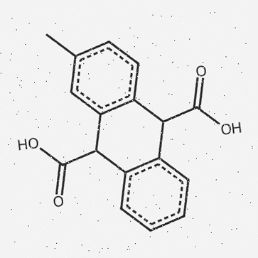 Cc1ccc2c(c1)C(C(=O)O)c1ccccc1C2C(=O)O